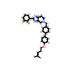 CC(C)=CCCOc1ccc(-c2ccc(Cn3ccc4nc(-c5cccc(F)c5F)nc-4c3)cc2)cc1